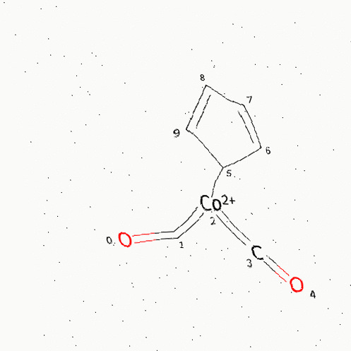 O=[C]=[Co+2](=[C]=O)[CH]1C=CC=C1